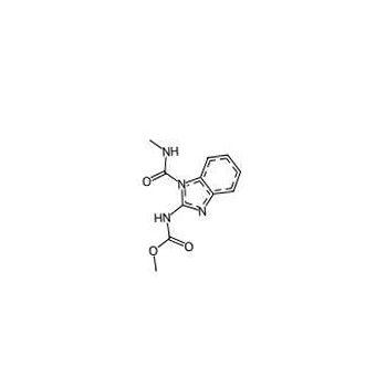 CNC(=O)n1c(NC(=O)OC)nc2ccccc21